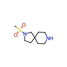 CS(=O)(=O)N1CCC2(CCNCC2)C1